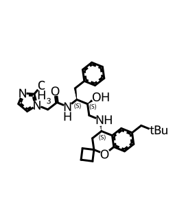 Cc1nccn1CC(=O)N[C@@H](Cc1ccccc1)[C@@H](O)CN[C@H]1CC2(CCC2)Oc2ccc(CC(C)(C)C)cc21